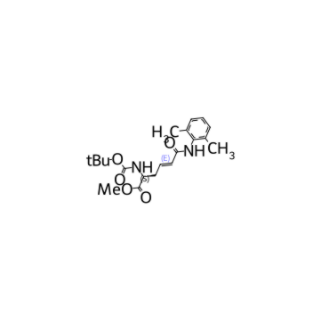 COC(=O)[C@H](C/C=C/C(=O)Nc1c(C)cccc1C)NC(=O)OC(C)(C)C